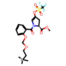 COC(=O)[C@@H]1CC(OS(=O)(=O)C(F)(F)F)=CN1C(=O)c1ccccc1OCOCC[Si](C)(C)C